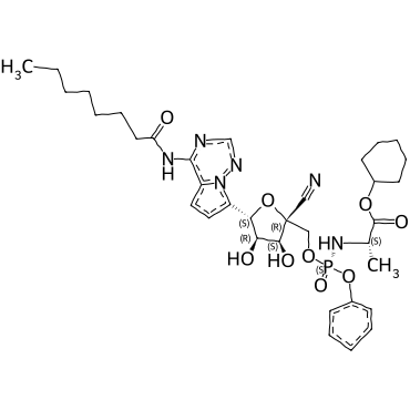 CCCCCCCC(=O)Nc1ncnn2c([C@@H]3O[C@](C#N)(CO[P@@](=O)(N[C@@H](C)C(=O)OC4CCCCC4)Oc4ccccc4)[C@@H](O)[C@H]3O)ccc12